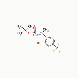 C[C@H](NC(=O)OC(C)(C)C)c1ccc(C(F)(F)F)cc1Br